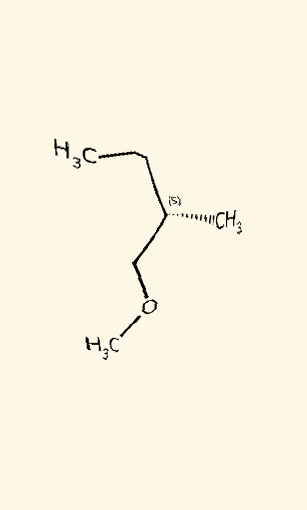 CC[C@H](C)COC